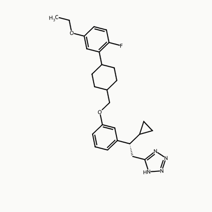 CCOc1ccc(F)c(C2CCC(COc3cccc([C@@H](Cc4nnn[nH]4)C4CC4)c3)CC2)c1